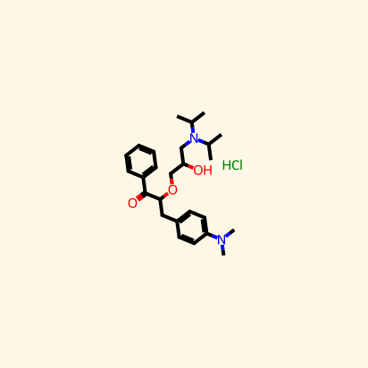 CC(C)N(CC(O)COC(Cc1ccc(N(C)C)cc1)C(=O)c1ccccc1)C(C)C.Cl